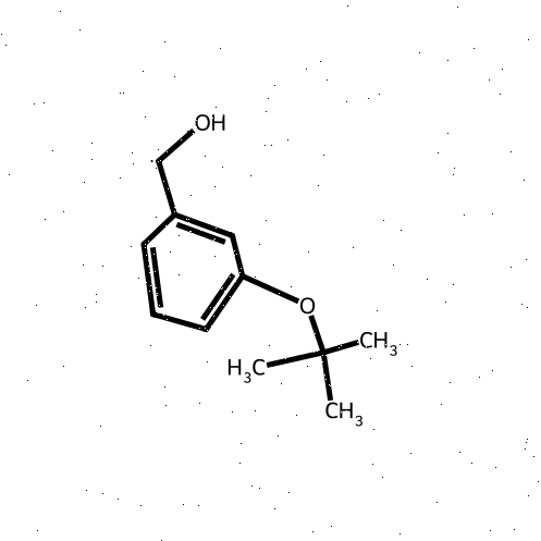 CC(C)(C)Oc1cccc([CH]O)c1